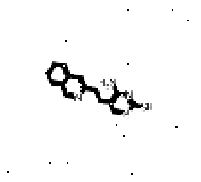 Nc1nc(S)ncc1CCc1cc2ccccc2cn1